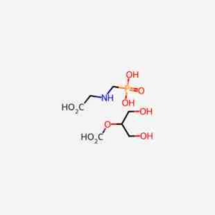 O=C(O)CNCP(=O)(O)O.O=C(O)OC(CO)CO